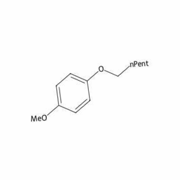 CCCCCCOc1ccc(OC)cc1